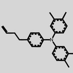 C=CCCc1ccc(N(c2ccc(C)c(C)c2)c2ccc(C)c(C)c2)cc1